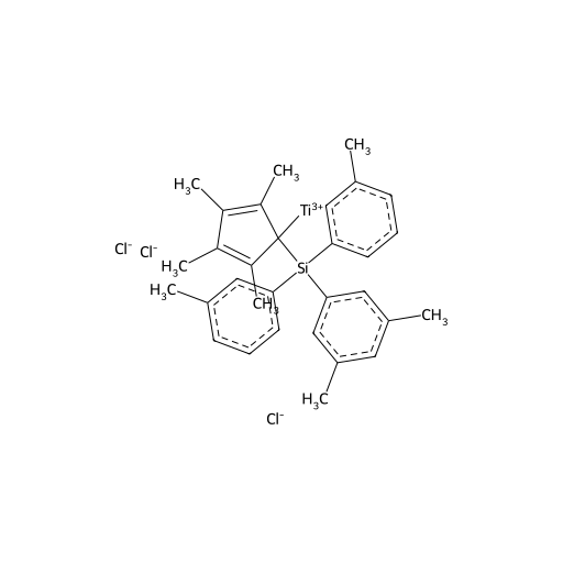 CC1=C(C)[C]([Ti+3])([Si](c2cccc(C)c2)(c2cccc(C)c2)c2cc(C)cc(C)c2)C(C)=C1C.[Cl-].[Cl-].[Cl-]